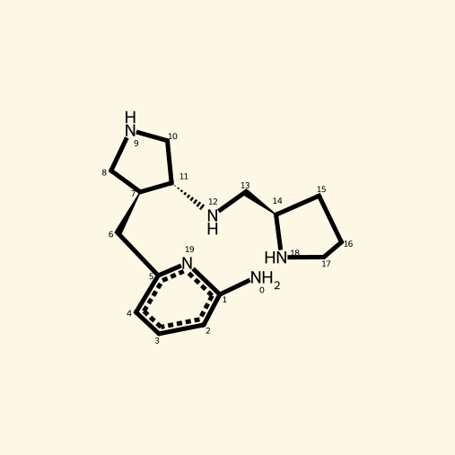 Nc1cccc(C[C@H]2CNC[C@@H]2NC[C@H]2CCCN2)n1